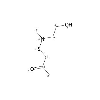 CC(=O)CSN(C)CCO